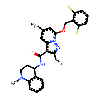 Cc1cc(OCc2c(F)cccc2F)n2nc(C)c(C(=O)NC3CCN(C)c4ccccc43)c2c1